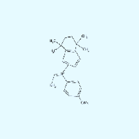 COc1ccc([N+](=CN)c2ccc3c(c2)C(C)(C)CCC3(C)C)cc1